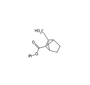 CC(C)OC(=O)C1=C(C(=O)O)C2CCC1C2